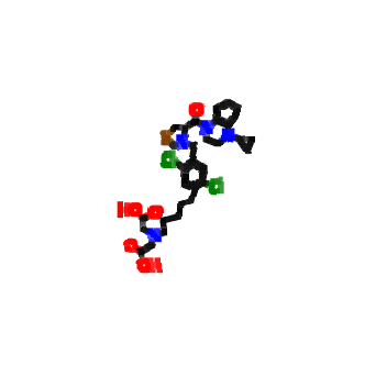 O=C(O)CN(CCCCCc1cc(Cl)c(CN2CSC[C@H]2C(=O)N2CCN(C3CC3)c3ccccc32)cc1Cl)CC(=O)O